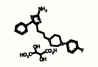 Nc1nc(-c2ccccc2)c(CCCN2CCN(c3ccc(F)cc3)CC2)s1.O=C(O)C(O)C(O)C(=O)O